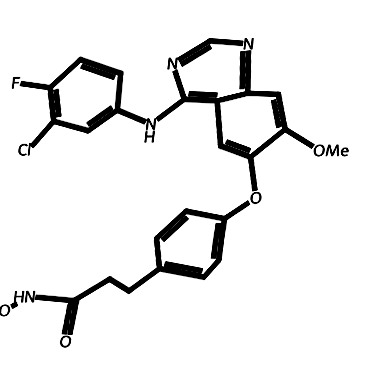 COc1cc2ncnc(Nc3ccc(F)c(Cl)c3)c2cc1Oc1ccc(CCC(=O)NO)cc1